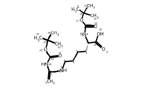 C=C(NCCCC[C@H](NC(=O)OC(C)(C)C)C(=O)O)NC(=O)OC(C)(C)C